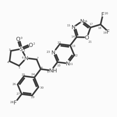 O=S1(=O)CCCN1CC(Nc1ncc(-c2nnc(C(F)F)o2)cn1)c1ccc(F)cc1